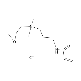 C=CC(=O)NCCC[N+](C)(C)CC1CO1.[Cl-]